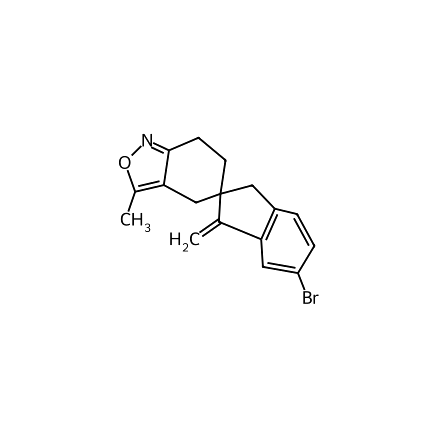 C=C1c2cc(Br)ccc2CC12CCc1noc(C)c1C2